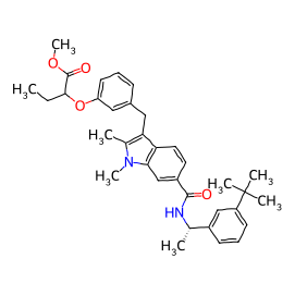 CCC(Oc1cccc(Cc2c(C)n(C)c3cc(C(=O)N[C@@H](C)c4cccc(C(C)(C)C)c4)ccc23)c1)C(=O)OC